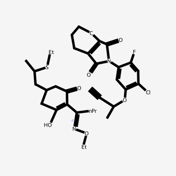 C#CC(C)Oc1cc(N2C(=O)C3=C(CCCC3)C2=O)c(F)cc1Cl.CCC/C(=N\OCC)C1=C(O)CC(CC(C)SCC)CC1=O